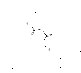 O=C(O)OC(=O)OO